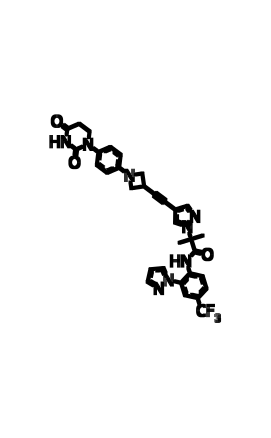 CC(C)(C(=O)Nc1ccc(C(F)(F)F)cc1-n1cccn1)n1cc(C#CC2CN(c3ccc(N4CCC(=O)NC4=O)cc3)C2)cn1